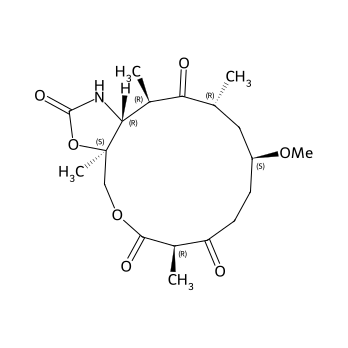 CO[C@H]1CCC(=O)[C@@H](C)C(=O)OC[C@@]2(C)OC(=O)N[C@@H]2[C@@H](C)C(=O)[C@H](C)C1